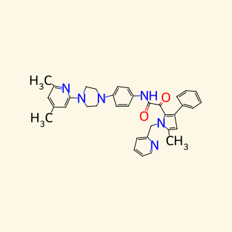 Cc1cc(C)nc(N2CCN(c3ccc(NC(=O)C(=O)c4c(-c5ccccc5)cc(C)n4Cc4ccccn4)cc3)CC2)c1